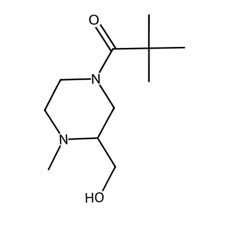 CN1CCN(C(=O)C(C)(C)C)CC1CO